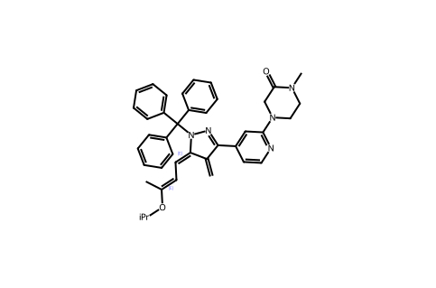 C=c1c(-c2ccnc(N3CCN(C)C(=O)C3)c2)nn(C(c2ccccc2)(c2ccccc2)c2ccccc2)/c1=C/C=C(\C)OC(C)C